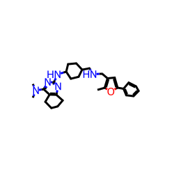 Cc1oc(-c2ccccc2)cc1CNCC1CCC(Nc2nc3c(c(N(C)C)n2)CCCC3)CC1